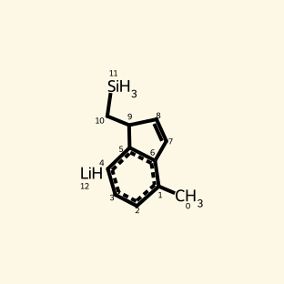 Cc1cccc2c1C=CC2C[SiH3].[LiH]